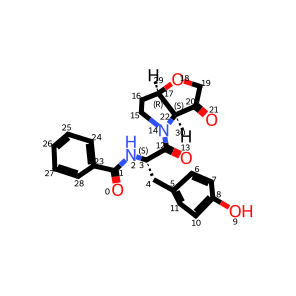 O=C(N[C@@H](Cc1ccc(O)cc1)C(=O)N1CC[C@H]2OCC(=O)[C@H]21)c1ccccc1